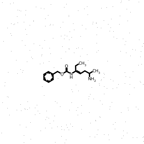 CC/C(=C\CC(C)N)NC(=O)OCc1ccccc1